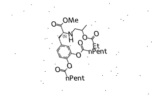 CCCCCC(=O)Oc1ccc(C[C@H](NCC(C)OC(=O)CC)C(=O)OC)cc1OC(=O)CCCCC